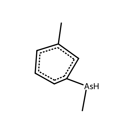 C[AsH]c1cccc(C)c1